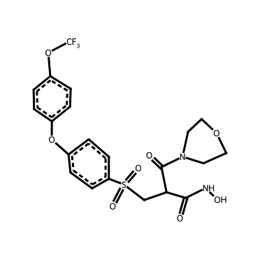 O=C(NO)C(CS(=O)(=O)c1ccc(Oc2ccc(OC(F)(F)F)cc2)cc1)C(=O)N1CCOCC1